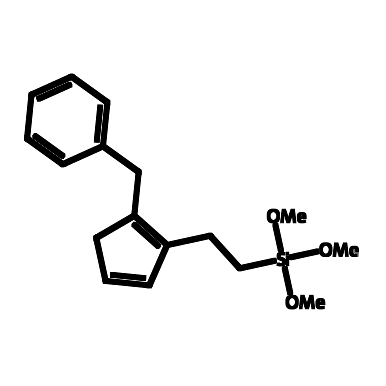 CO[Si](CCC1=C(Cc2ccccc2)CC=C1)(OC)OC